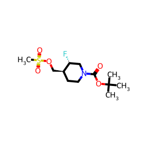 CC(C)(C)OC(=O)N1CC[C@@H](COS(C)(=O)=O)[C@H](F)C1